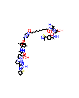 Cc1ncsc1-c1ccc([C@H](C)NC(=O)[C@@H]2C[C@@H](O)CN2C(=O)C(NC(=O)CCCCCCCCCCC(=O)N2CCN(CCOC34CC5(Cn6ncc(-c7ccc(N8CCCc9c8nnc(Nc8nc%10ccccc%10s8)c9C)nc7C(=O)O)c6C)C[C@@](C)(C3)C[C@](C)(C5)C4)CC2)C(C)(C)C)cc1